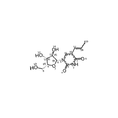 O=c1[nH]c(=O)n([C@@H]2O[C@H](CO)[C@H](O)[C@H]2O)cc1C=CI